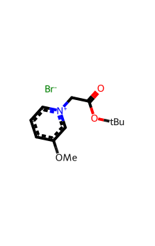 COc1ccc[n+](CC(=O)OC(C)(C)C)c1.[Br-]